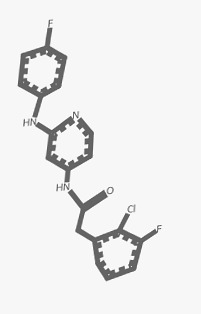 O=C(Cc1cccc(F)c1Cl)Nc1ccnc(Nc2ccc(F)cc2)c1